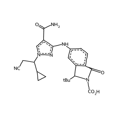 CC(C)(C)C1c2cc(Nc3nn(C(CC#N)C4CC4)cc3C(N)=O)ccc2C(=O)N1C(=O)O